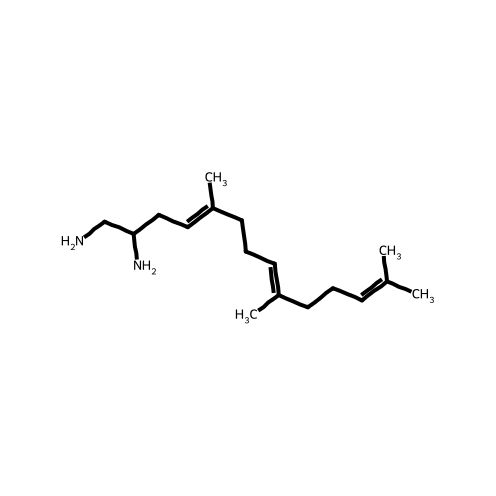 CC(C)=CCCC(C)=CCCC(C)=CCC(N)CN